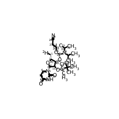 [2H]C[C@H]1O[C@@H](n2ccc(=O)[nH]c2=O)C(O[Si](C)(C)C(C)(C)C)[C@H]1OP(OCCC#N)N(C(C)C)C(C)C